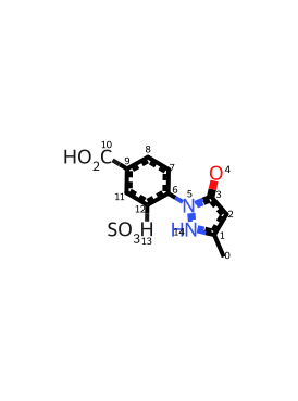 Cc1cc(=O)n(-c2ccc(C(=O)O)cc2S(=O)(=O)O)[nH]1